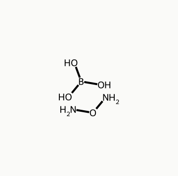 NON.OB(O)O